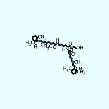 CC1=C(/C=C/C(C)=C/C=C/C(C)=C/C(=O)NCCCCC(NC(=O)/C=C(C)/C=C/C=C(C)/C=C/C2=C(C)CCCC2(C)C)C(=O)NCCO)C(C)(C)CCC1